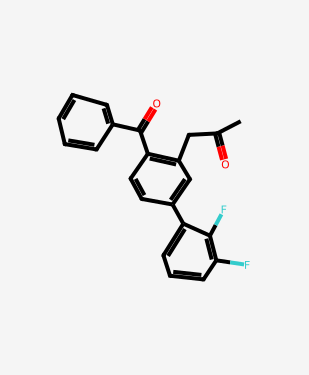 CC(=O)Cc1cc(-c2cccc(F)c2F)ccc1C(=O)c1ccccc1